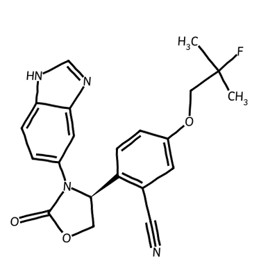 CC(C)(F)COc1ccc([C@H]2COC(=O)N2c2ccc3[nH]cnc3c2)c(C#N)c1